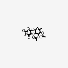 CC(=O)OC1C(C)OC2Oc3c(c(=O)n(C)c(=O)n3C)SC2C1OC(C)=O